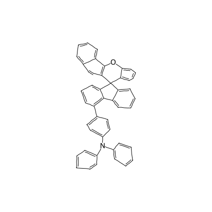 c1ccc(N(c2ccccc2)c2ccc(-c3cccc4c3-c3ccccc3C43c4ccccc4Oc4c3ccc3ccccc43)cc2)cc1